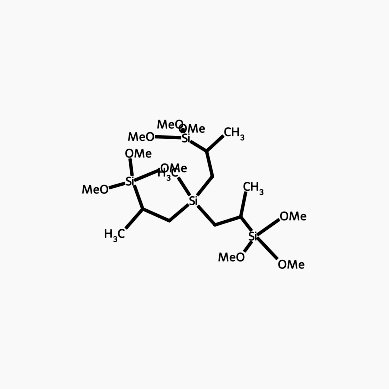 CO[Si](OC)(OC)C(C)C[Si](C)(CC(C)[Si](OC)(OC)OC)CC(C)[Si](OC)(OC)OC